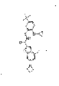 CC(C)(C)c1ccc(OC2CC2)c(SNC(=O)c2cc3c(F)cc(N4CCC4)cc3o2)c1